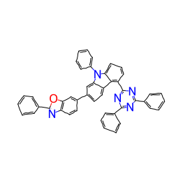 c1ccc(-c2nc(-c3ccccc3)nc(-c3cccc4c3c3ccc(-c5ccc6nc(-c7ccccc7)oc6c5)cc3n4-c3ccccc3)n2)cc1